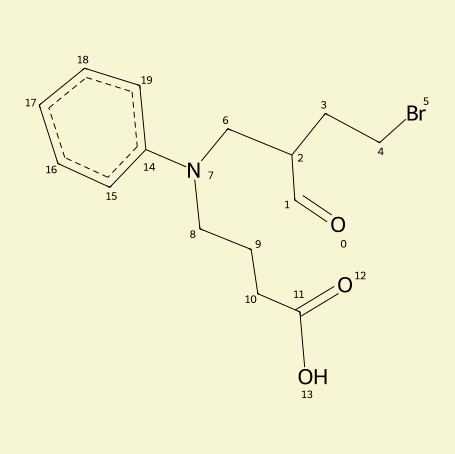 O=CC(CCBr)CN(CCCC(=O)O)c1ccccc1